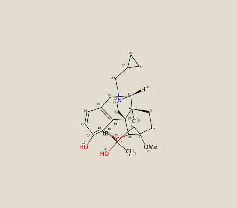 COC12CC[C@]3(CC1[C@](C)(O)C(C)(C)C)[C@H]1Cc4ccc(O)c5c4[C@@]3(CCN1CC1CC1)C2O5